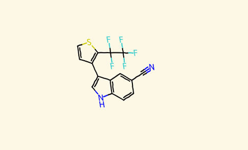 N#Cc1ccc2[nH]cc(-c3ccsc3C(F)(F)C(F)(F)F)c2c1